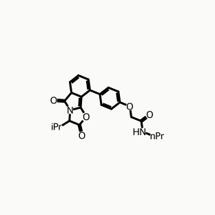 CCCNC(=O)COc1ccc(C2=CC=CC3C(=O)N4C(=C23)OC(=O)C4C(C)C)cc1